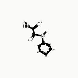 CNC(=O)C(=O)N(C)c1ccccc1